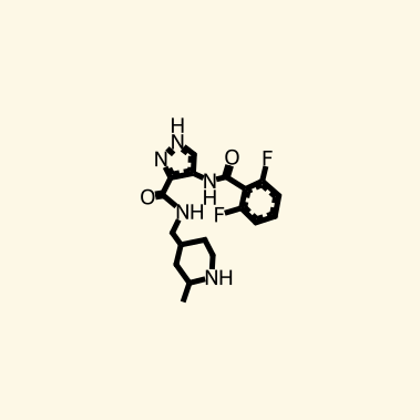 CC1CC(CNC(=O)c2n[nH]cc2NC(=O)c2c(F)cccc2F)CCN1